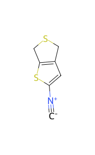 [C-]#[N+]c1cc2c(s1)CSC2